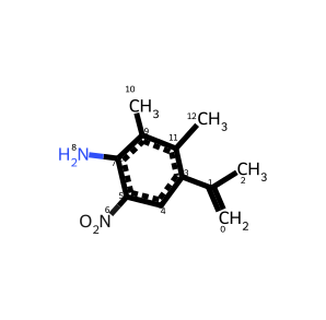 C=C(C)c1cc([N+](=O)[O-])c(N)c(C)c1C